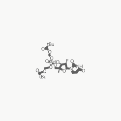 CC(C)(C)C(=O)OCOP(=O)(OCOC(=O)C(C)(C)C)OC[C@@]1(C)OC(n2ccc(=O)[nH]c2=O)[C@H](F)[C@@H]1O